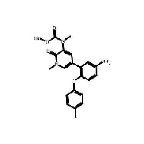 Cc1ccc(Oc2ccc(N)cc2-c2cc(N(C)C(=O)OC(C)(C)C)c(=O)n(C)c2)cc1